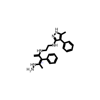 C=C(NCCNc1n[nH]c(C)c1-c1ccccc1)/C(=C(/C)NN)c1ccccc1